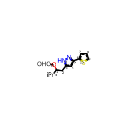 CC(C)C(Cc1cc(-c2cccs2)n[nH]1)OC=O